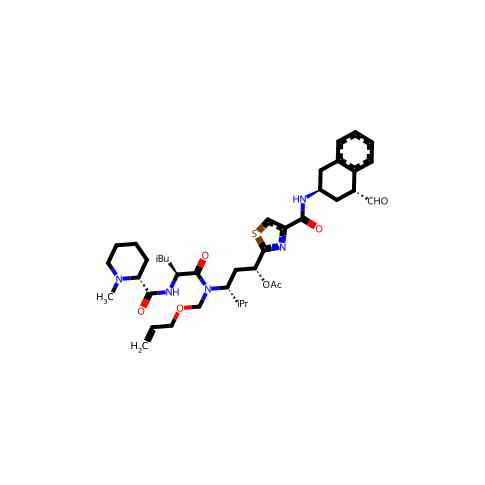 C=CCOCN(C(=O)[C@@H](NC(=O)[C@H]1CCCCN1C)C(C)CC)[C@H](C[C@@H](OC(C)=O)c1nc(C(=O)N[C@H]2Cc3ccccc3[C@H](C=O)C2)cs1)C(C)C